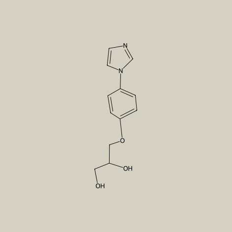 OCC(O)COc1ccc(-n2ccnc2)cc1